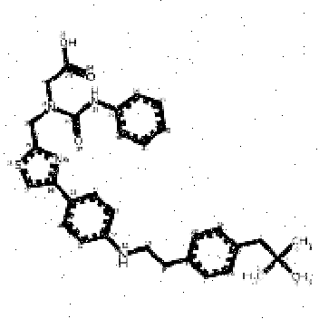 CC(C)(C)Cc1ccc(CCNc2ccc(-c3csc(CN(CC(=O)O)C(=O)Nc4ccccc4)n3)cc2)cc1